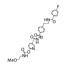 COCCNC(=O)Oc1ccc(C(=O)NS(=O)(=O)c2ccc(CCNC(=O)c3ccc(F)cc3)cc2)cn1